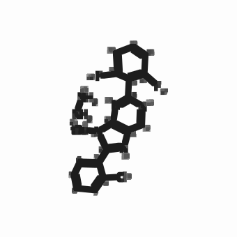 CC(C)(C)n1c(-c2ccccc2Cl)nc2cnc(-c3c(F)cccc3F)nc21.NN